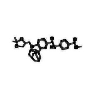 COC(=O)c1ccc(NC(=O)c2ccc(OCC3COC(C)(C)O3)c(C34CC5CC(CC(C5)C3)C4)c2)cc1